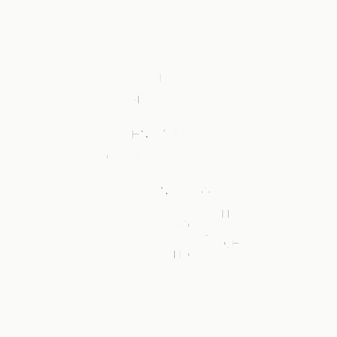 CC(C)(C)OC(=O)N1CCC(=O)C(NC(=O)C(F)(F)F)C1